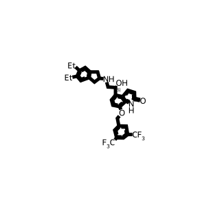 CCc1cc2c(cc1CC)CC(NC[C@@H](O)c1ccc(OCc3cc(C(F)(F)F)cc(C(F)(F)F)c3)c3[nH]c(=O)ccc13)C2